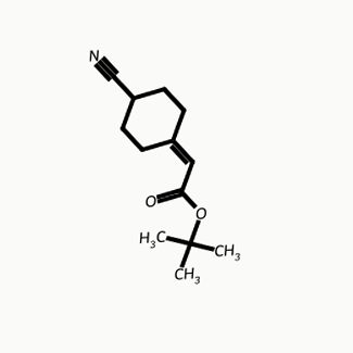 CC(C)(C)OC(=O)C=C1CCC(C#N)CC1